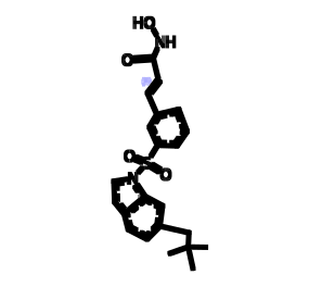 CC(C)(C)Cc1ccc2ccn(S(=O)(=O)c3cccc(/C=C/C(=O)NO)c3)c2c1